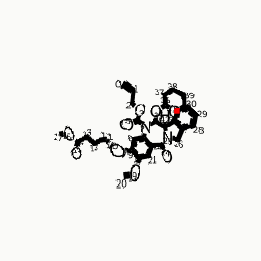 C=CCOC(=O)N1c2cc(OCCCC(=O)OC)c(OC)cc2C(=O)N2Cc3ccccc3[C@H]2C1OC1CCCCO1